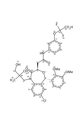 COc1cccc([C@H]2O[C@H](CC(=O)Nc3cccc(OC(F)(F)C(=O)O)c3)C(=O)N(CC(C)(C)CO)c3ccc(Cl)cc32)c1OC